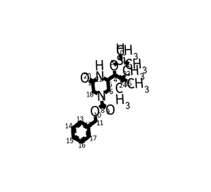 C[SiH](C)OC(C1CN(C(=O)OCc2ccccc2)CC(=O)N1)C(C)(C)C